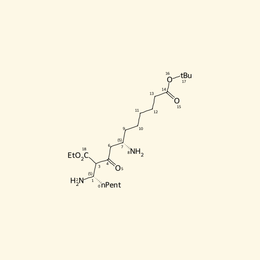 CCCCC[C@H](N)C(C(=O)C[C@@H](N)CCCCCC(=O)OC(C)(C)C)C(=O)OCC